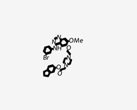 COc1cc2ncnc(Nc3cccc(Br)c3)c2cc1OCCN1CCN(CC(=O)Oc2ccc3c(c2)CCC3)CC1